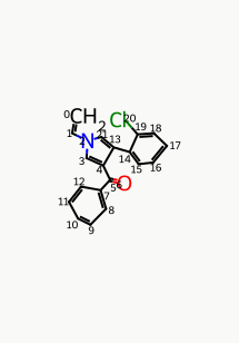 C=Cn1cc(C(=O)c2ccccc2)c(-c2ccccc2Cl)c1